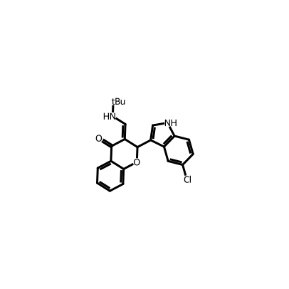 CC(C)(C)N/C=C1\C(=O)c2ccccc2OC1c1c[nH]c2ccc(Cl)cc12